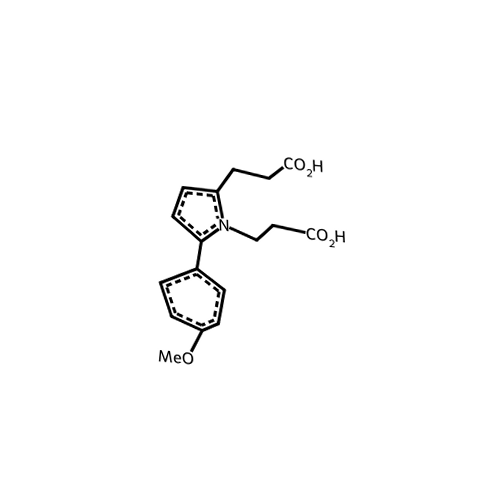 COc1ccc(-c2ccc(CCC(=O)O)n2CCC(=O)O)cc1